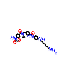 NCCCCCCCNc1ccc(NC(=O)c2ccc(CN(C(=O)c3ccc4c(c3)OCC(=O)N4)C3CC3)cc2)cc1